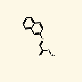 CC(C)(C)OC(=O)C=Nc1ccc2ccccc2c1